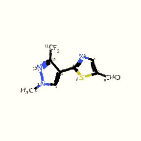 Cn1cc(-c2ncc(C=O)s2)c(C(F)(F)F)n1